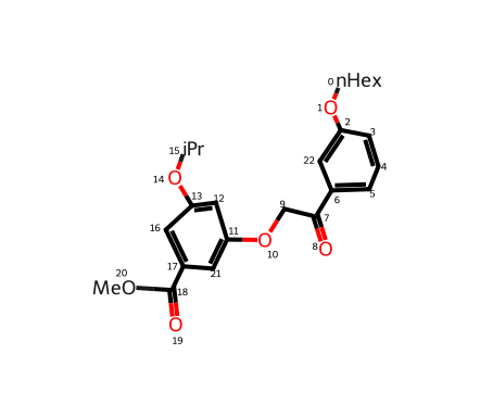 CCCCCCOc1cccc(C(=O)COc2cc(OC(C)C)cc(C(=O)OC)c2)c1